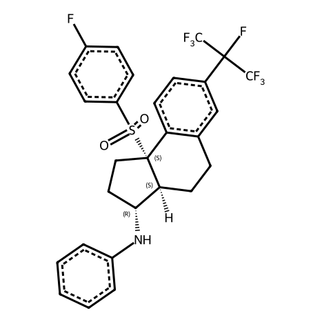 O=S(=O)(c1ccc(F)cc1)[C@@]12CC[C@@H](Nc3ccccc3)[C@@H]1CCc1cc(C(F)(C(F)(F)F)C(F)(F)F)ccc12